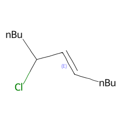 CCCC/C=C/C(Cl)CCCC